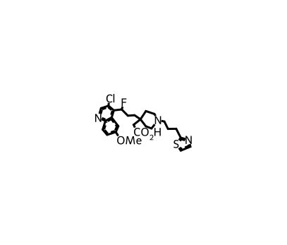 COc1ccc2ncc(Cl)c(C(F)CCC3(CC(=O)O)CCN(CCCc4nccs4)CC3)c2c1